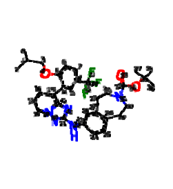 CC(C)COc1ccc(C(F)(F)F)cc1-c1cccn2nc(Nc3ccc4c(c3)CCN(C(=O)OC(C)(C)C)CC4)nc12